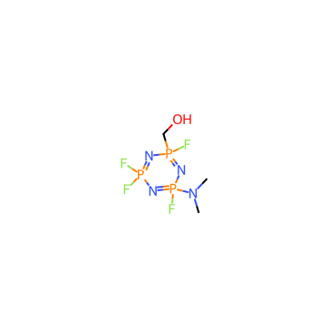 CN(C)P1(F)=NP(F)(F)=NP(F)(CO)=N1